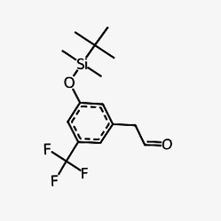 CC(C)(C)[Si](C)(C)Oc1cc(CC=O)cc(C(F)(F)F)c1